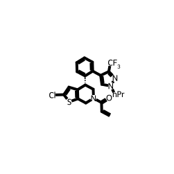 C=CC(=O)N1Cc2sc(Cl)cc2[C@H](c2ccccc2-c2cn(CCC)nc2C(F)(F)F)C1